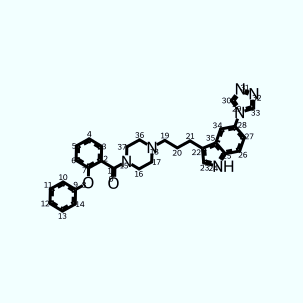 O=C(c1ccccc1Oc1ccccc1)N1CCN(CCCc2c[nH]c3ccc(-n4cnnc4)cc23)CC1